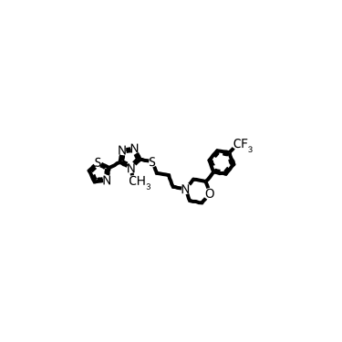 Cn1c(SCCCN2CCOC(c3ccc(C(F)(F)F)cc3)C2)nnc1-c1nccs1